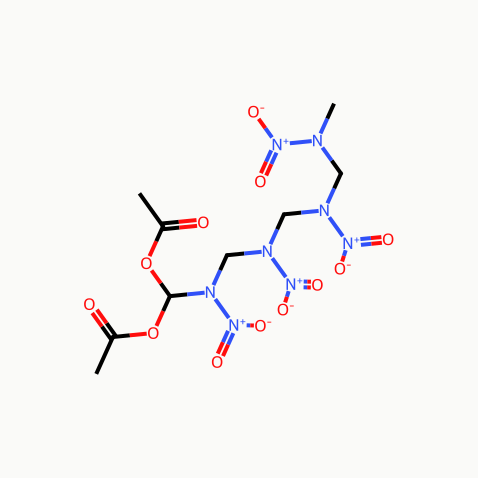 CC(=O)OC(OC(C)=O)N(CN(CN(CN(C)[N+](=O)[O-])[N+](=O)[O-])[N+](=O)[O-])[N+](=O)[O-]